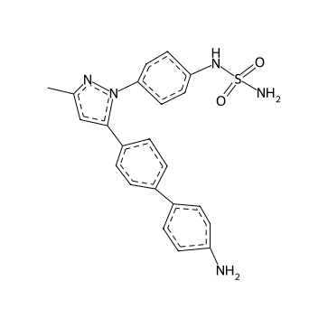 Cc1cc(-c2ccc(-c3ccc(N)cc3)cc2)n(-c2ccc(NS(N)(=O)=O)cc2)n1